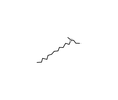 [CH2]CCN(C)CCCCCCCCCCCC